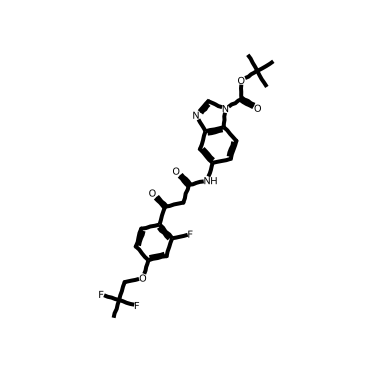 CC(F)(F)COc1ccc(C(=O)CC(=O)Nc2ccc3c(c2)ncn3C(=O)OC(C)(C)C)c(F)c1